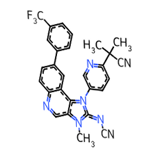 Cn1c(=NC#N)n(-c2ccc(C(C)(C)C#N)nc2)c2c3cc(-c4cccc(C(F)(F)F)c4)ccc3ncc21